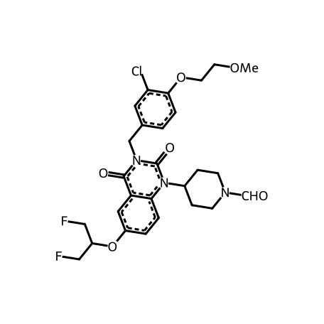 COCCOc1ccc(Cn2c(=O)c3cc(OC(CF)CF)ccc3n(C3CCN(C=O)CC3)c2=O)cc1Cl